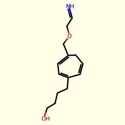 N=CCOCC1=CC=C(CCCCO)C=CC1